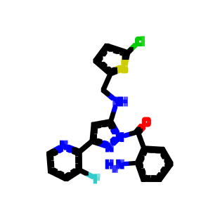 Nc1ccccc1C(=O)n1nc(-c2ncccc2F)cc1NCc1ccc(Cl)s1